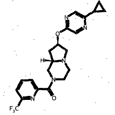 O=C(c1cccc(C(F)(F)F)n1)N1CCN2C[C@H](Oc3cnc(C4CC4)cn3)C[C@H]2C1